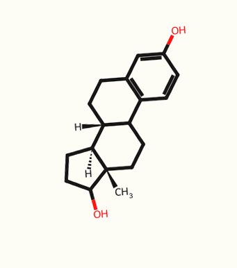 C[C@]12CCC3c4ccc(O)cc4CC[C@H]3[C@@H]1CCC2O